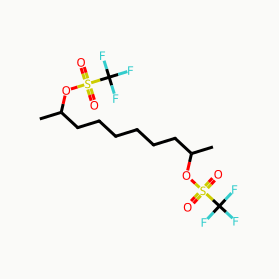 CC(CCCCCCC(C)OS(=O)(=O)C(F)(F)F)OS(=O)(=O)C(F)(F)F